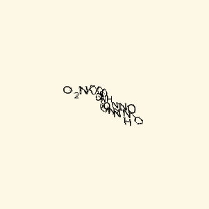 O=C(Nc1ncnc2c1ncn2[C@H]1CC[C@@H](CNS(=O)(=O)Oc2ccc([N+](=O)[O-])cc2)O1)c1ccccc1